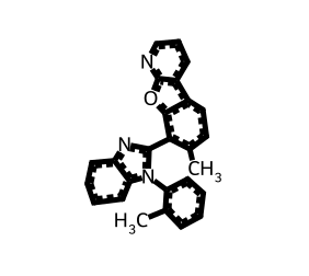 Cc1ccccc1-n1c(-c2c(C)ccc3c2oc2ncccc23)nc2ccccc21